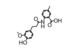 COc1cc(CCC(=O)Nc2ccc(C)cc2C(=O)O)ccc1O